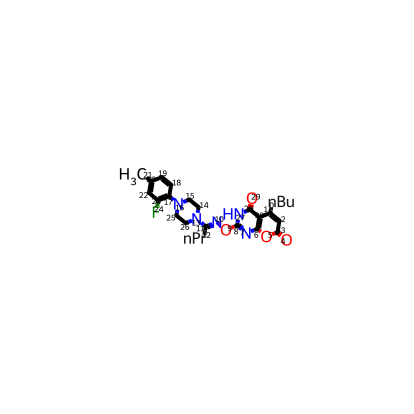 CCCCc1cc(=O)oc2nc(O/N=C(\CCC)N3CCN(c4ccc(C)cc4F)CC3)[nH]c(=O)c12